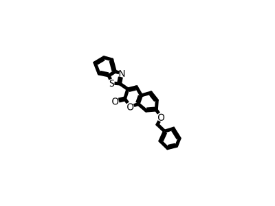 O=c1oc2cc(OCc3ccccc3)ccc2cc1-c1nc2ccccc2s1